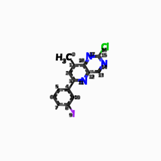 Cc1cc(-c2cccc(I)c2)nc2cnc(Cl)nc12